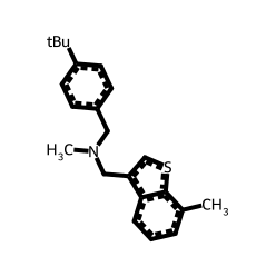 Cc1cccc2c(CN(C)Cc3ccc(C(C)(C)C)cc3)csc12